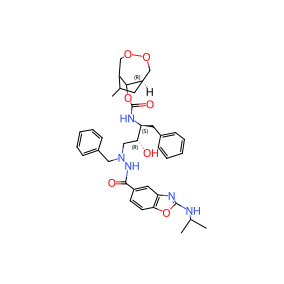 CC(C)Nc1nc2cc(C(=O)NN(Cc3ccccc3)C[C@@H](O)[C@H](Cc3ccccc3)NC(=O)OC3C4COOC[C@H]3CC4C)ccc2o1